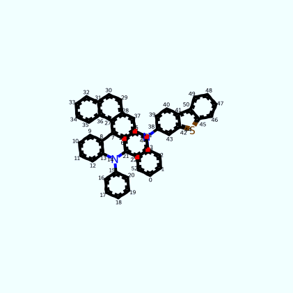 c1ccc(N(c2cc(-c3ccccc3N(c3ccccc3)c3ccccc3)c3c(ccc4ccccc43)c2)c2ccc3c(c2)sc2ccccc23)cc1